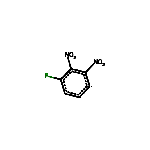 O=[N+]([O-])c1[c]ccc(F)c1[N+](=O)[O-]